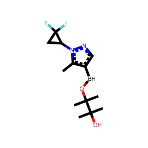 Cc1c(BOC(C)(C)C(C)(C)O)cnn1C1CC1(F)F